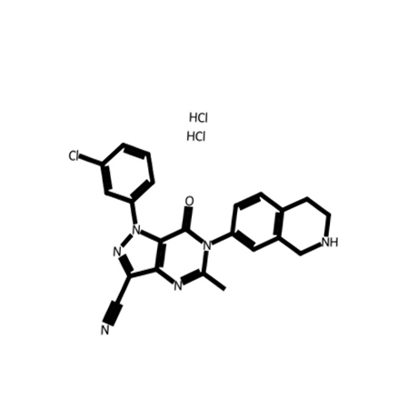 Cc1nc2c(C#N)nn(-c3cccc(Cl)c3)c2c(=O)n1-c1ccc2c(c1)CNCC2.Cl.Cl